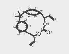 C=CC1OC(=O)OC(C=C)c2ccc(cc2)C(C)(C)c2ccc1cc2